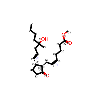 CCCCC(C)(O)C/C=C/[C@H]1CCC(=O)[C@@H]1C/C=C\CCCC(=O)OC